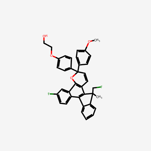 COc1ccc(C2(c3ccc(OCCO)cc3)C=Cc3c4c(c5ccc(F)cc5c3O2)-c2ccccc2C4(C)CF)cc1